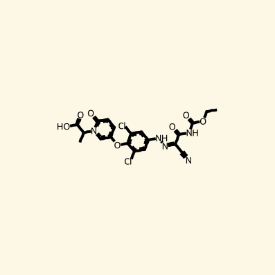 CCOC(=O)NC(=O)C(C#N)=NNc1cc(Cl)c(Oc2ccc(=O)n(C(C)C(=O)O)c2)c(Cl)c1